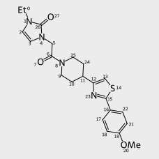 CCn1ccn(CC(=O)N2CCC(c3csc(-c4ccc(OC)cc4)n3)CC2)c1=O